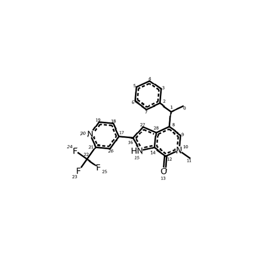 CC(c1ccccc1)c1cn(C)c(=O)c2[nH]c(-c3ccnc(C(F)(F)F)c3)cc12